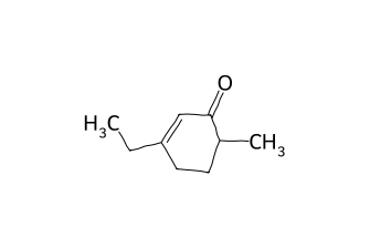 CCC1=CC(=O)C(C)CC1